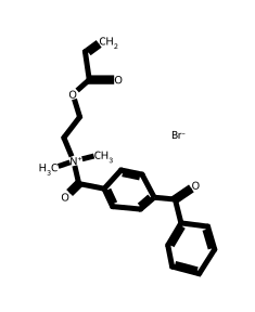 C=CC(=O)OCC[N+](C)(C)C(=O)c1ccc(C(=O)c2ccccc2)cc1.[Br-]